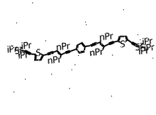 CCC/C(C#Cc1ccc(C#C/C(CCC)=C(/C#Cc2ccc(C#C[Si](C(C)C)(C(C)C)C(C)C)s2)CCC)cc1)=C(\C#Cc1ccc(C#C[Si](C(C)C)(C(C)C)C(C)C)s1)CCC